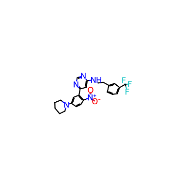 O=[N+]([O-])c1ccc(N2CCCCC2)cc1-c1cc(NCCc2cccc(C(F)(F)F)c2)ncn1